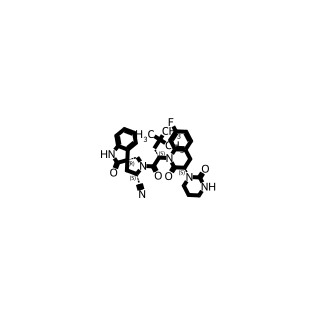 CC(C)(C)C[C@@H](C(=O)N1C[C@]2(C[C@H]1C#N)C(=O)Nc1ccccc12)N1C(=O)[C@@H](N2CCCNC2=O)Cc2ccc(F)cc21